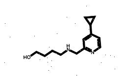 OCCCCNCc1cc(C2CC2)ccn1